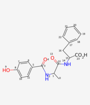 CC(NC(=O)c1ccc(O)cc1)C(=O)NC(Cc1ccccc1)C(=O)O